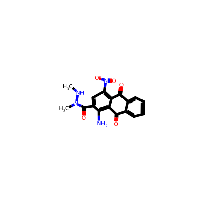 CNN(C)C(=O)c1cc([N+](=O)[O-])c2c(c1N)C(=O)c1ccccc1C2=O